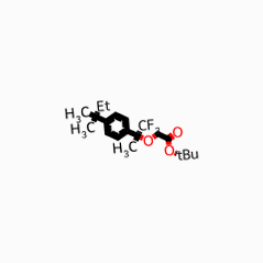 CCC(C)(C)c1ccc(C(C)(OCC(=O)OC(C)(C)C)C(F)(F)F)cc1